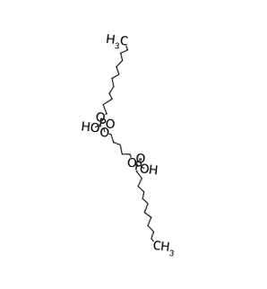 CCCCCCCCCCCCOP(=O)(O)OCCCCCOP(=O)(O)CCCCCCCCCCCC